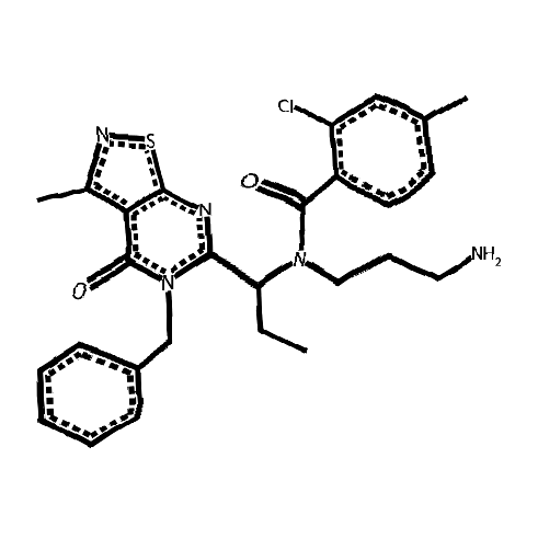 CCC(c1nc2snc(C)c2c(=O)n1Cc1ccccc1)N(CCCN)C(=O)c1ccc(C)cc1Cl